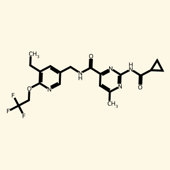 CCc1cc(CNC(=O)c2cc(C)nc(NC(=O)C3CC3)n2)cnc1OCC(F)(F)F